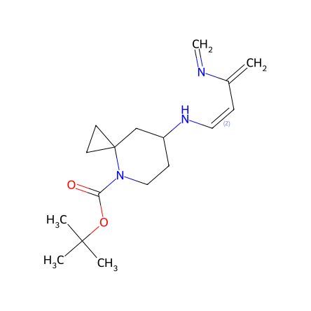 C=NC(=C)/C=C\NC1CCN(C(=O)OC(C)(C)C)C2(CC2)C1